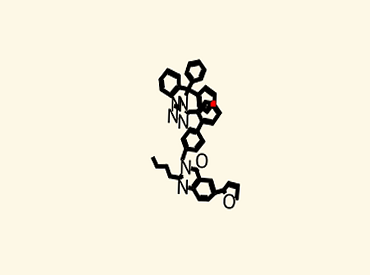 CCCCc1nc2ccc(C3C=CCO3)cc2c(=O)n1Cc1ccc(-c2ccccc2-c2nnnn2C(c2ccccc2)(c2ccccc2)c2ccccc2)cc1